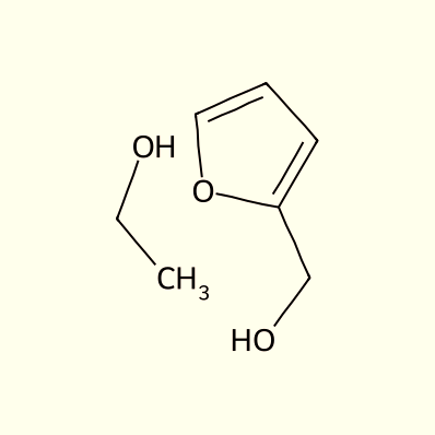 CCO.OCc1ccco1